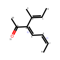 CC=C(C)/C(=C\C=C/C)C(C)=O